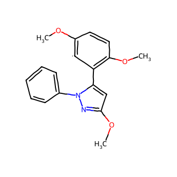 COc1[c]c(-c2cc(OC)nn2-c2ccccc2)c(OC)cc1